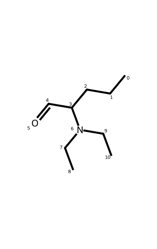 CCCC(C=O)N(CC)CC